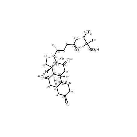 C[C@H](CCC(=O)OC(C(F)(F)F)C(F)(F)S(=O)(=O)O)[C@H]1CC[C@H]2[C@@H]3C(=O)CC4CC(=O)CC[C@]4(C)[C@H]3CC(=O)[C@]12C